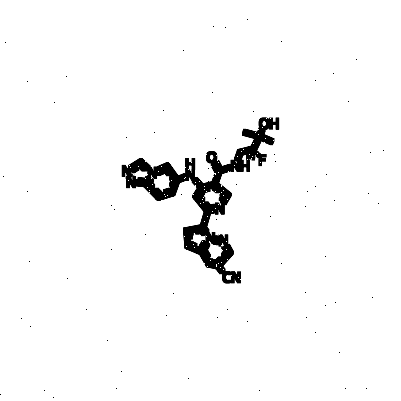 CC(C)(O)[C@H](F)CNC(=O)c1cnc(-c2ccc3cc(C#N)cnn23)cc1Nc1ccc2nncn2c1